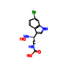 O=C(O)NCC(NO)c1c[nH]c2cc(Br)ccc12